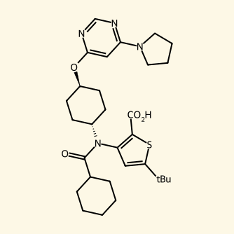 CC(C)(C)c1cc(N(C(=O)C2CCCCC2)[C@H]2CC[C@H](Oc3cc(N4CCCC4)ncn3)CC2)c(C(=O)O)s1